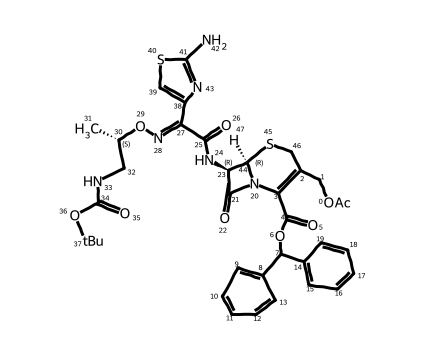 CC(=O)OCC1=C(C(=O)OC(c2ccccc2)c2ccccc2)N2C(=O)[C@@H](NC(=O)C(=NO[C@@H](C)CNC(=O)OC(C)(C)C)c3csc(N)n3)[C@H]2SC1